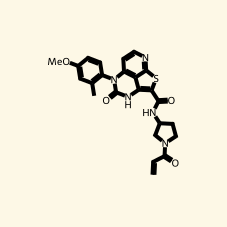 C=CC(=O)N1CCC(NC(=O)c2sc3nccc4c3c2NC(=O)N4c2ccc(OC)cc2C)C1